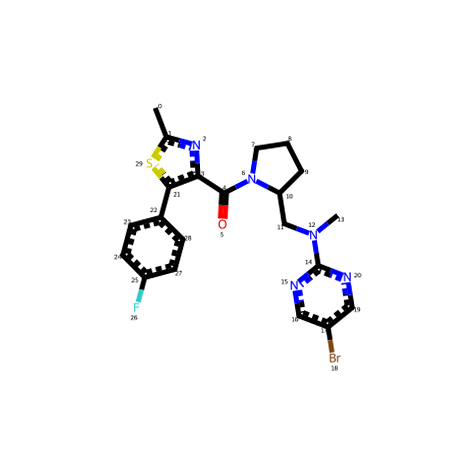 Cc1nc(C(=O)N2CCCC2CN(C)c2ncc(Br)cn2)c(-c2ccc(F)cc2)s1